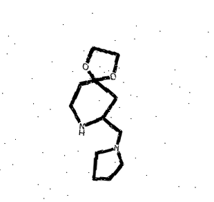 C1CCN(CC2CC3(CCN2)OCCO3)C1